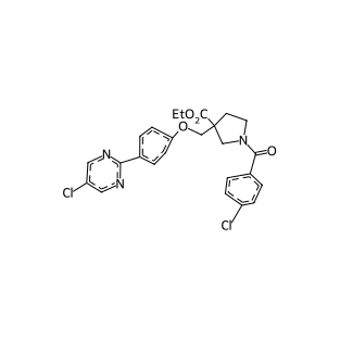 CCOC(=O)C1(COc2ccc(-c3ncc(Cl)cn3)cc2)CCN(C(=O)c2ccc(Cl)cc2)C1